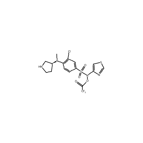 CN(c1ccc(S(=O)(=O)N(OC(=O)C(F)(F)F)c2cscn2)cc1Cl)[C@H]1CCNC1